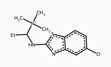 CCC(Nc1nc2cc(Cl)ccc2s1)[N+](C)(C)C